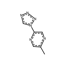 Cc1cnc(-n2cnnn2)cn1